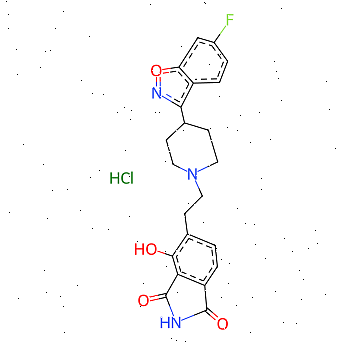 Cl.O=C1NC(=O)c2c1ccc(CCN1CCC(c3noc4cc(F)ccc34)CC1)c2O